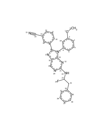 COc1cccc(-n2c(-c3cccc(C#N)c3)nc3cnc(NC(F)Cc4ccccc4)nc32)c1